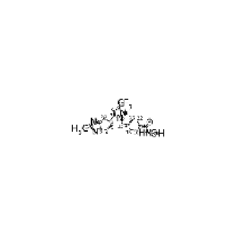 Cn1nc2ccc(-c3cc(C(F)(F)F)nn3Cc3ccc(C(=O)NO)cc3)cc2n1